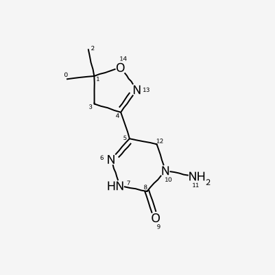 CC1(C)CC(C2=NNC(=O)N(N)C2)=NO1